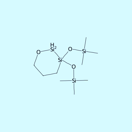 C[Si](C)(C)O[Si]1(O[Si](C)(C)C)CCCO[SiH2]1